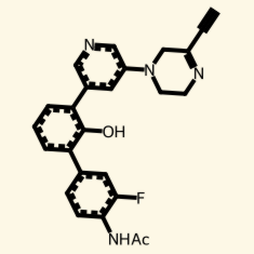 C#CC1=NCCN(c2cncc(-c3cccc(-c4ccc(NC(C)=O)c(F)c4)c3O)c2)C1